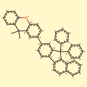 CC1(C)c2ccccc2Oc2ccc(-c3ccc4c(c3)C(c3ccccc3)(c3ccccc3)c3c-4ccc4ccccc34)cc21